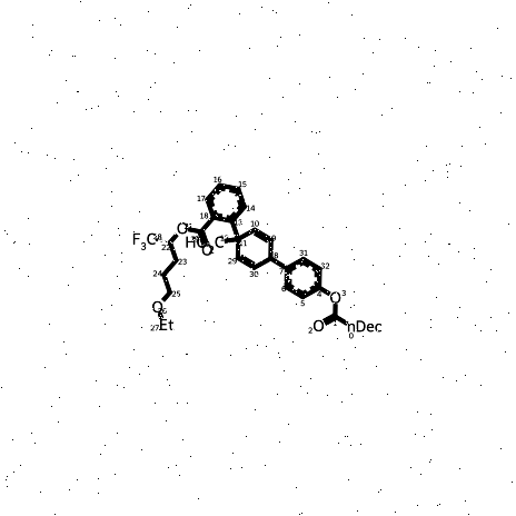 CCCCCCCCCCC(=O)Oc1ccc(C2C=CC(C(=O)O)(c3ccccc3C(=O)O[C@H](CCCOCC)C(F)(F)F)C=C2)cc1